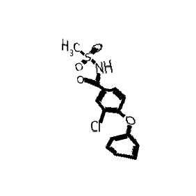 CS(=O)(=O)NC(=O)c1ccc(Oc2ccccc2)c(Cl)c1